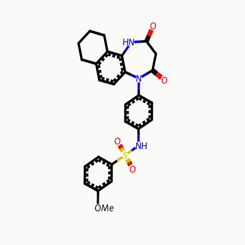 COc1cccc(S(=O)(=O)Nc2ccc(N3C(=O)CC(=O)Nc4c3ccc3c4CCCC3)cc2)c1